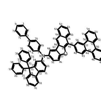 c1ccc(-c2ccc(N(c3ccc4c(c3)C(c3ccccc3)(c3ccccc3)c3ccccc3-4)c3ccc4oc5c(-c6ccc7c8ccccc8c8ccccc8c7c6)c6ccccc6cc5c4c3)cc2)cc1